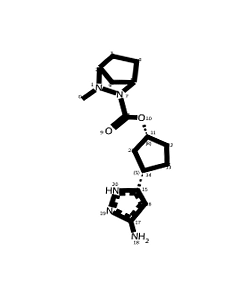 CN1C2CCC(C2)N1C(=O)O[C@@H]1CC[C@H](c2cc(N)n[nH]2)C1